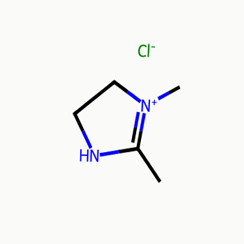 CC1=[N+](C)CCN1.[Cl-]